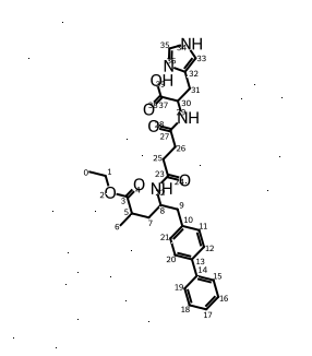 CCOC(=O)C(C)CC(Cc1ccc(-c2ccccc2)cc1)NC(=O)CCC(=O)NC(Cc1c[nH]cn1)C(=O)O